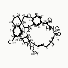 CC(C)O[C@H]1/C=C/C[C@H](C)[C@@H](C)S(=O)(=O)NC(=O)c2ccc3c(c2)N(C[C@H]2[C@H]1C[C@H]2C)C[C@@]1(CCCc2cc(Cl)ccc21)CO3